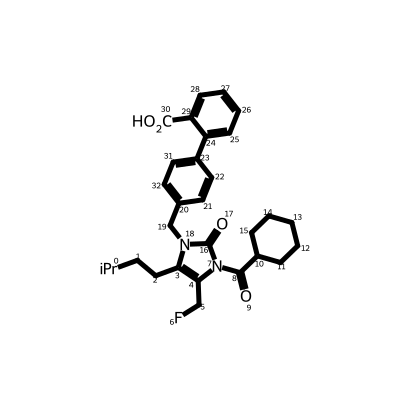 CC(C)CCc1c(CF)n(C(=O)C2CCCCC2)c(=O)n1Cc1ccc(-c2ccccc2C(=O)O)cc1